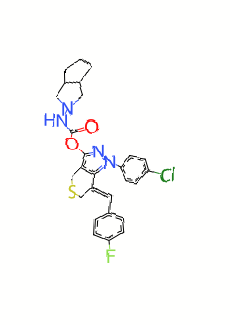 O=C(NN1CC2CCCC2C1)Oc1nn(-c2ccc(Cl)cc2)c2c1CSC/C2=C\c1ccc(F)cc1